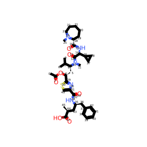 CC(=O)O[C@H](C[C@H](C(C)C)N(C)C(=O)[C@@H](NC(=O)[C@H]1CCCCCN1C)C1CC1)c1nc(C(=O)N[C@@H](Cc2ccccc2)C[C@H](C)C(=O)O)cs1